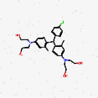 Cc1cc(N(CCO)CCO)ccc1C(c1ccc(Cl)cc1)c1ccc(N(CCO)CCO)cc1C